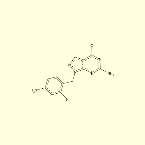 Nc1ccc(Cn2ncc3c(Cl)nc(N)nc32)c(F)c1